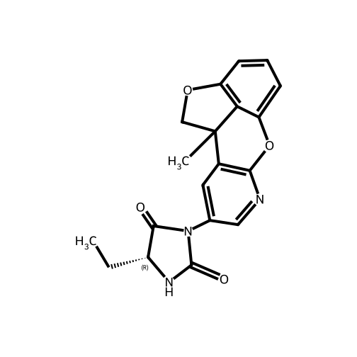 CC[C@H]1NC(=O)N(c2cnc3c(c2)C2(C)COc4cccc(c42)O3)C1=O